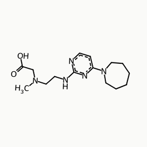 CN(CCNc1nccc(N2CCCCCC2)n1)CC(=O)O